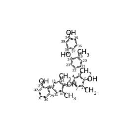 Cc1cccc(C)c1O.Cc1cccc(C)c1O.Cc1ccccc1O.Oc1ccccc1.Oc1ccccc1